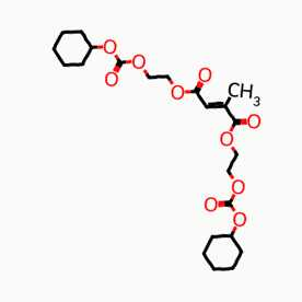 C/C(=C\C(=O)OCCOC(=O)OC1CCCCC1)C(=O)OCCOC(=O)OC1CCCCC1